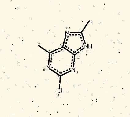 Cc1nc2c(C)nc(Cl)nc2[nH]1